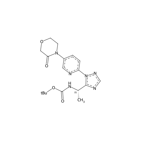 C[C@H](NC(=O)OC(C)(C)C)c1ncnn1-c1ccc(N2CCOCC2=O)cn1